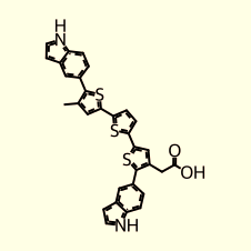 Cc1cc(-c2ccc(-c3cc(CC(=O)O)c(-c4ccc5[nH]ccc5c4)s3)s2)sc1-c1ccc2[nH]ccc2c1